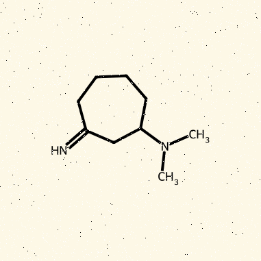 CN(C)C1CCCCC(=N)C1